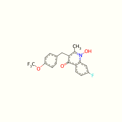 Cc1c(Cc2ccc(OC(F)(F)F)cc2)c(=O)c2ccc(F)cc2n1O